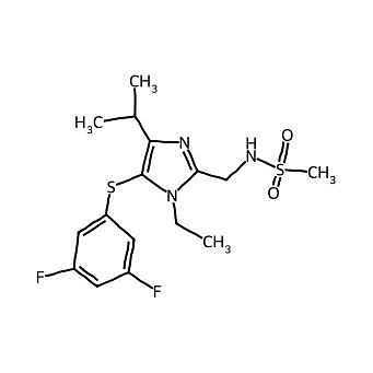 CCn1c(CNS(C)(=O)=O)nc(C(C)C)c1Sc1cc(F)cc(F)c1